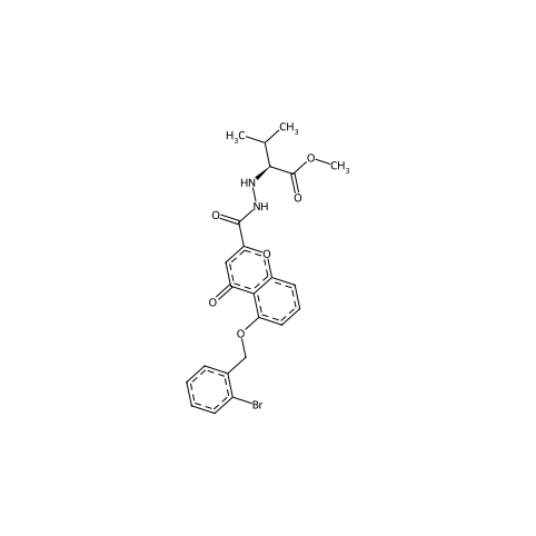 COC(=O)[C@@H](NNC(=O)c1cc(=O)c2c(OCc3ccccc3Br)cccc2o1)C(C)C